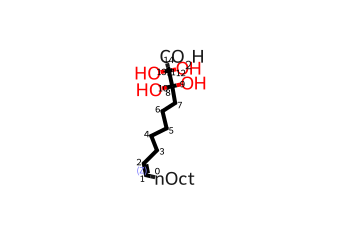 CCCCCCCC/C=C\CCCCCC(O)(O)C(O)(O)C(=O)O